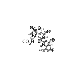 CCC1(O[C@@H](C)OCC(=O)O)C(=C=O)OCC2=C1C=CN(CC1=C(Br)N3CCCc4cc(F)cc(c43)C1=C=O)C2=C=O